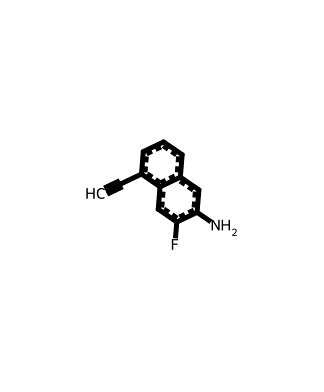 C#Cc1cccc2cc(N)c(F)cc12